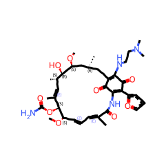 CO[C@H]1/C=C\C=C(/C)C(=O)NC2=C(c3ccco3)C(=O)C(NCCN(C)C)=C(C[C@@H](C)C[C@H](OC)[C@H](O)[C@@H](C)/C=C(\C)[C@@H]1OC(N)=O)C2=O